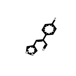 O=CC(=Cc1cnoc1)c1ccc(F)cc1